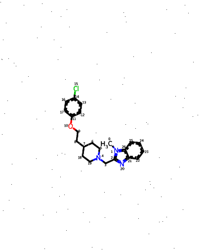 Cn1c(CN2CCC(CCOc3ccc(Cl)cc3)CC2)nc2ccccc21